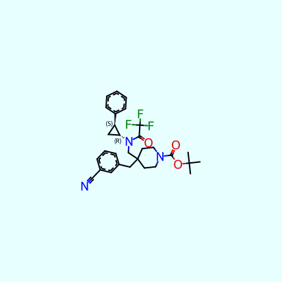 CC(C)(C)OC(=O)N1CCC(Cc2cccc(C#N)c2)(CN(C(=O)C(F)(F)F)[C@@H]2C[C@H]2c2ccccc2)CC1